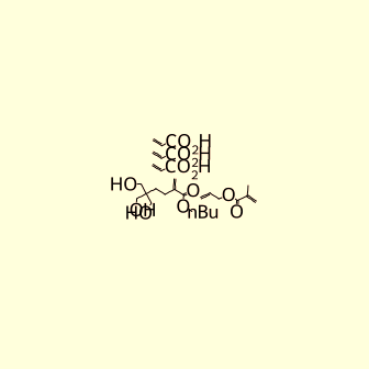 C=C(CCC(CO)(CO)CO)C(=O)OCCCC.C=CC(=O)O.C=CC(=O)O.C=CC(=O)O.C=CCOC(=O)C(=C)C